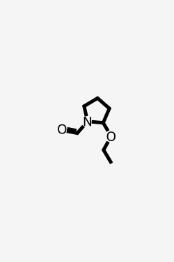 CCOC1CCCN1C=O